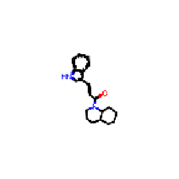 O=C(/C=C/c1c[nH]c2ccccc12)N1CCCC2CCCCC21